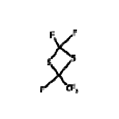 FC1(F)SC(F)(C(F)(F)F)S1